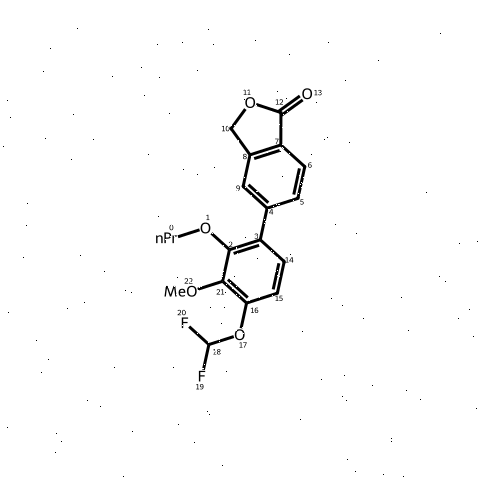 CCCOc1c(-c2ccc3c(c2)COC3=O)ccc(OC(F)F)c1OC